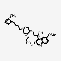 COc1ccc2nccc([C@H](O)CC[C@@H]3CCN(CCCCc4cccn4C)C[C@H]3CCC(=O)O)c2c1